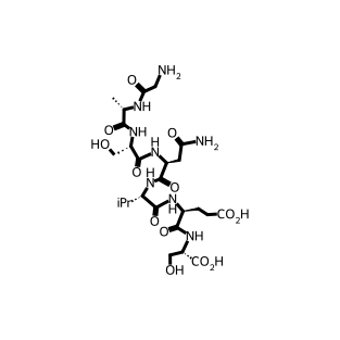 CC(C)[C@H](NC(=O)[C@H](CC(N)=O)NC(=O)[C@H](CO)NC(=O)[C@H](C)NC(=O)CN)C(=O)N[C@@H](CCC(=O)O)C(=O)N[C@@H](CO)C(=O)O